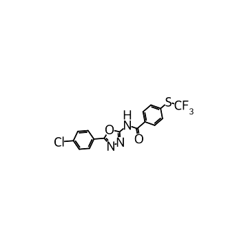 O=C(Nc1nnc(-c2ccc(Cl)cc2)o1)c1ccc(SC(F)(F)F)cc1